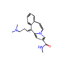 CNC(=O)c1cc2n(c1)C=Cc1ccccc1/C2=C\CCN(C)C